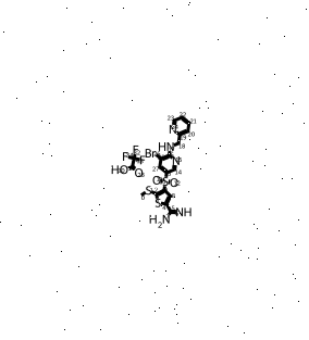 CSc1sc(C(=N)N)cc1S(=O)(=O)c1cnc(NCc2ccccn2)c(Br)c1.O=C(O)C(F)(F)F